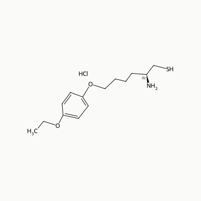 CCOc1ccc(OCCCC[C@H](N)CS)cc1.Cl